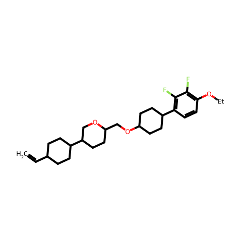 C=CC1CCC(C2CCC(COC3CCC(c4ccc(OCC)c(F)c4F)CC3)OC2)CC1